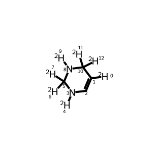 [2H]C1=CN([2H])C([2H])([2H])N([2H])C1([2H])[2H]